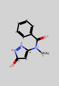 CC(=O)NN(C(=O)c1ccccc1)C1=CC(=O)N=N1